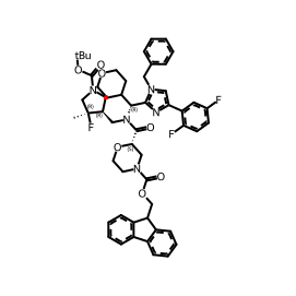 CC(C)(C)OC(=O)N1C[C@@H](CN(C(=O)[C@@H]2CN(C(=O)OCC3c4ccccc4-c4ccccc43)CCO2)[C@@H](c2nc(-c3cc(F)ccc3F)cn2Cc2ccccc2)C2CCOCC2)[C@@](C)(F)C1